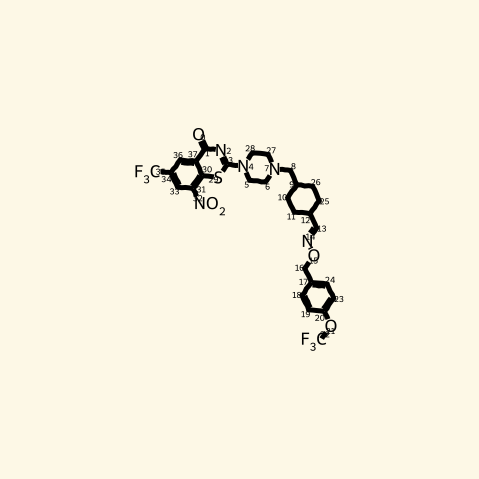 O=c1nc(N2CCN(CC3CCC(C=NOCc4ccc(OC(F)(F)F)cc4)CC3)CC2)sc2c([N+](=O)[O-])cc(C(F)(F)F)cc12